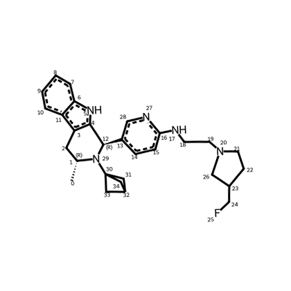 C[C@@H]1Cc2c([nH]c3ccccc23)[C@@H](c2ccc(NCCN3CCC(CF)C3)nc2)N1C12CC(C1)C2